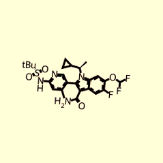 Cc1cc(NS(=O)(=O)C(C)(C)C)ncc1-c1c(C(N)=O)c2cc(F)c(OC(F)F)cc2n1[C@H](C)C1CC1